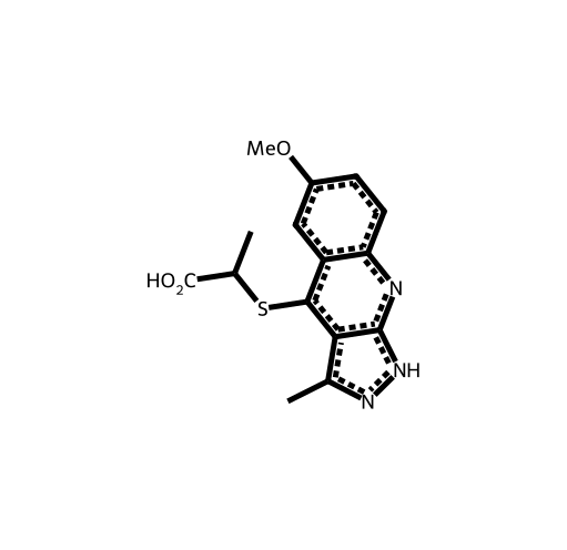 COc1ccc2nc3[nH]nc(C)c3c(SC(C)C(=O)O)c2c1